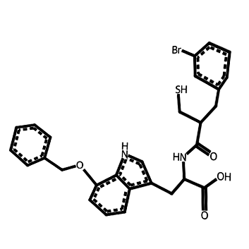 O=C(NC(Cc1c[nH]c2c(OCc3ccccc3)cccc12)C(=O)O)C(CS)Cc1cccc(Br)c1